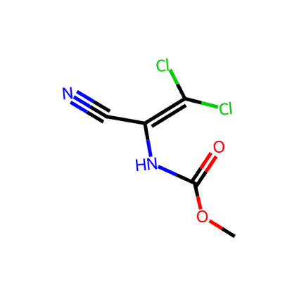 COC(=O)NC(C#N)=C(Cl)Cl